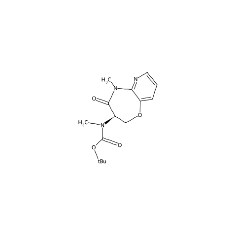 CN1C(=O)[C@H](N(C)C(=O)OC(C)(C)C)COc2cccnc21